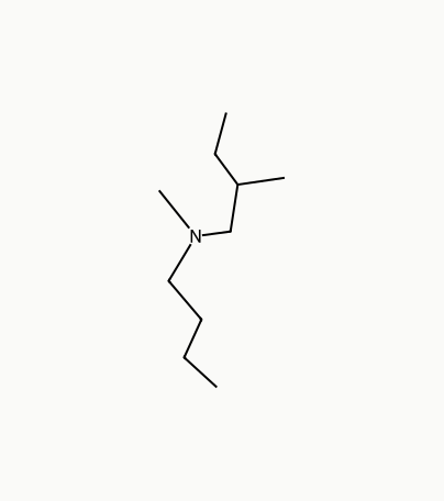 CCCCN(C)CC(C)CC